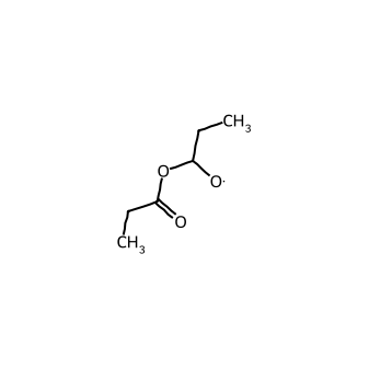 CCC(=O)OC([O])CC